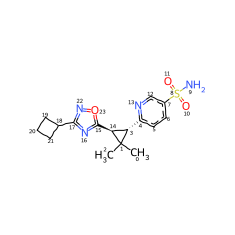 CC1(C)[C@@H](c2ccc(S(N)(=O)=O)cn2)[C@@H]1c1nc(C2CCC2)no1